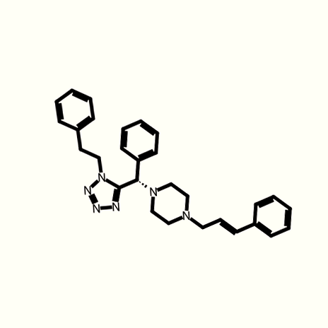 C(=C\c1ccccc1)/CN1CCN([C@@H](c2ccccc2)c2nnnn2CCc2ccccc2)CC1